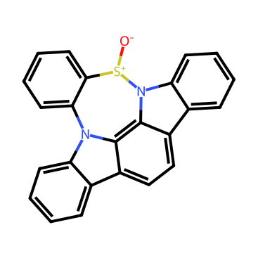 [O-][s+]1c2ccccc2n2c3ccccc3c3ccc4c5ccccc5n1c4c32